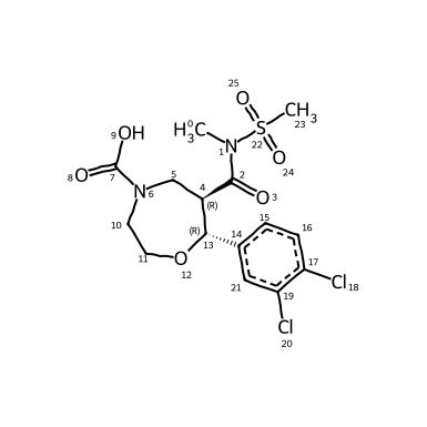 CN(C(=O)[C@@H]1CN(C(=O)O)CCO[C@H]1c1ccc(Cl)c(Cl)c1)S(C)(=O)=O